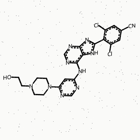 N#Cc1cc(Cl)c(-c2nc3ncnc(Nc4cc(N5CCN(CCO)CC5)ncn4)c3[nH]2)c(Cl)c1